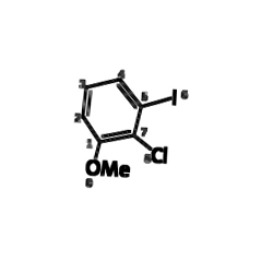 COc1cccc(I)c1Cl